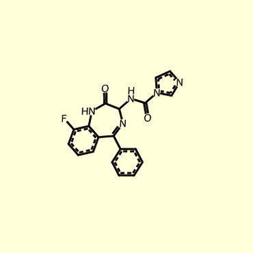 O=C1Nc2c(F)cccc2C(c2ccccc2)=NC1NC(=O)n1ccnc1